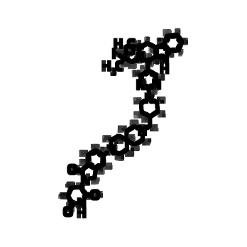 C[C@@H]1Cc2c([nH]c3ccccc23)[C@@H](c2cnc(N3CCC(CN4CCC5(CC4)CCN(c4ccc6c(c4)CN(C4CCC(=O)NC4=O)C6=O)CC5)CC3)nc2)N1CC(C)(C)F